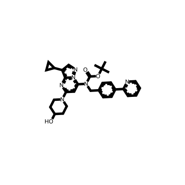 CC(C)(C)OC(=O)N(Cc1ccc(-c2ccccn2)cc1)c1cc(N2CCC(O)CC2)nc2c(C3CC3)cnn12